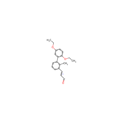 CCOc1ccc(OCC)c(-c2cccc(/C=C/[C]=O)c2C)c1